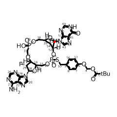 CC(C)(C)C(=O)OCOc1ccc(CSP2(=O)OC[C@H]3O[C@@H](n4cnc5c(N)ncnc54)[C@H](F)[C@@H]3OCP(=O)(O)OC[C@H]3O[C@@H](n4cnc5c(=O)[nH]cnc54)[C@H](O2)[C@@H]3F)cc1